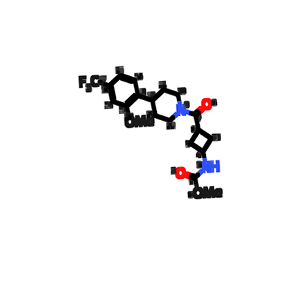 COC(=O)NC1CC(C(=O)N2CCC(c3ccc(C(F)(F)F)cc3OC)CC2)C1